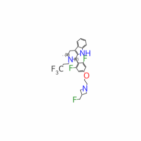 C[C@@H]1Cc2c([nH]c3ccccc23)[C@@H](c2c(F)cc(OCCN3CC(CF)C3)cc2F)N1CCC(F)(F)F